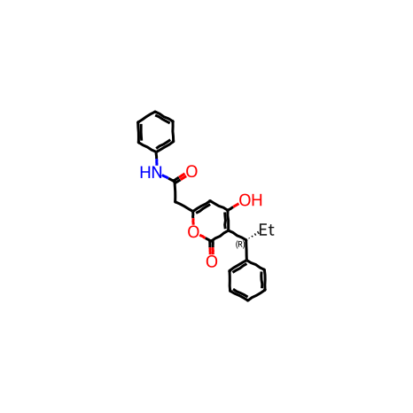 CC[C@H](c1ccccc1)c1c(O)cc(CC(=O)Nc2ccccc2)oc1=O